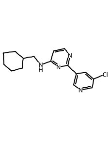 Clc1cncc(-c2nccc(NCC3CCCCC3)n2)c1